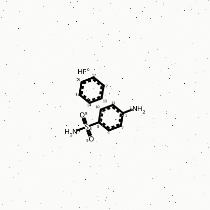 F.Nc1ccc(S(N)(=O)=O)cc1.c1ccccc1